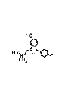 CN(C)CCC1OC(c2ccc(F)cc2)c2ccc(C#N)cc21